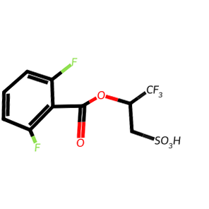 O=C(OC(CS(=O)(=O)O)C(F)(F)F)c1c(F)cccc1F